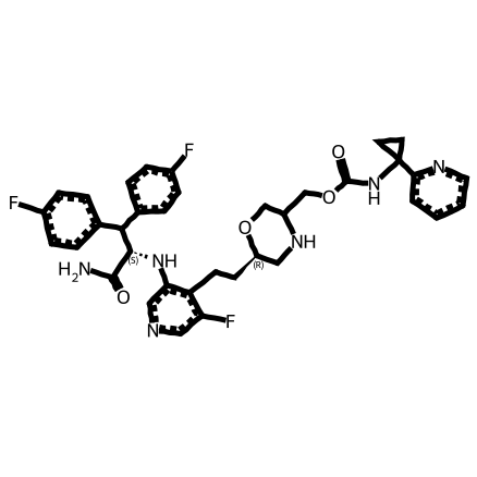 NC(=O)[C@@H](Nc1cncc(F)c1CC[C@@H]1CNC(COC(=O)NC2(c3ccccn3)CC2)CO1)C(c1ccc(F)cc1)c1ccc(F)cc1